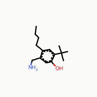 CCCCc1cc(C(C)(C)C)c(O)cc1CN